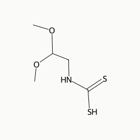 COC(CNC(=S)S)OC